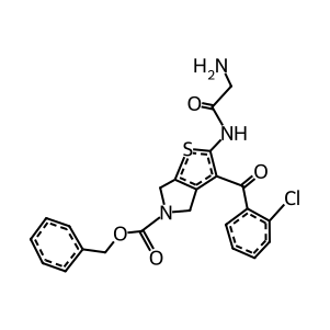 NCC(=O)Nc1sc2c(c1C(=O)c1ccccc1Cl)CN(C(=O)OCc1ccccc1)C2